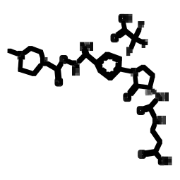 CN1CCN(C(=O)ONC(=N)c2ccc(N3CC[C@H](NC(=O)NCCC(=O)O)C3=O)cc2)CC1.O=C(O)C(F)(F)F